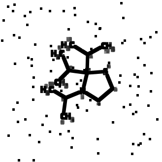 CC(C)N1CCSC1(C(C)C)C(C)C